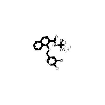 CC(C)(NC(=O)c1ccc2ccccc2c1OCc1cnc(Cl)c(Cl)c1)C(=O)O